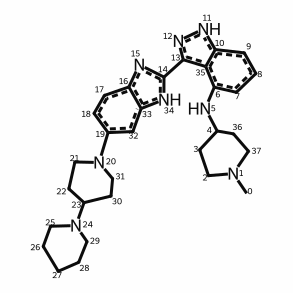 CN1CCC(Nc2cccc3[nH]nc(-c4nc5ccc(N6CCC(N7CCCCC7)CC6)cc5[nH]4)c23)CC1